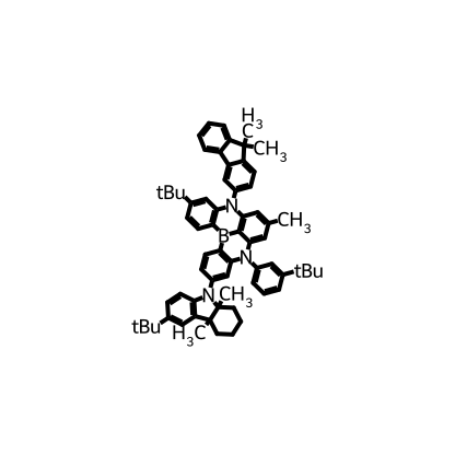 Cc1cc2c3c(c1)N(c1ccc4c(c1)-c1ccccc1C4(C)C)c1cc(C(C)(C)C)ccc1B3c1ccc(N3c4ccc(C(C)(C)C)cc4C4(C)CCCCC34C)cc1N2c1cccc(C(C)(C)C)c1